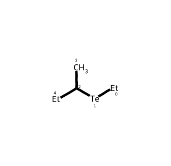 CC[Te]C(C)CC